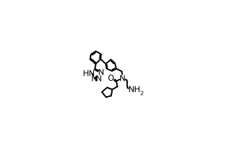 NCCN(Cc1ccc(-c2ccccc2-c2nnn[nH]2)cc1)C(=O)CC1CCCC1